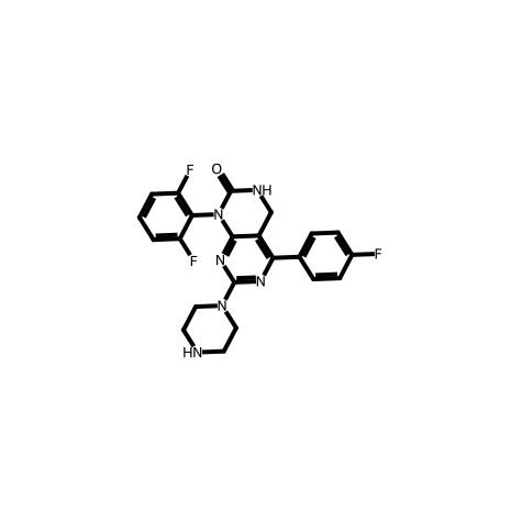 O=C1NCc2c(-c3ccc(F)cc3)nc(N3CCNCC3)nc2N1c1c(F)cccc1F